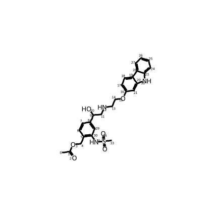 CC(=O)OCc1ccc(C(O)CNCCOc2ccc3c(c2)[nH]c2ccccc23)cc1NS(C)(=O)=O